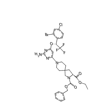 CCOC(=O)[C@@H]1CC2(CCN(c3cc(O[C@H](c4ccc(Cl)cc4Br)C(F)(F)F)nc(N)n3)CC2)CN1C(=O)OCc1ccccc1